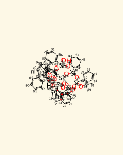 CCCC(C)(C)[Si](C)(C)O[SiH](O[Si]1(c2ccccc2)O[Si]2(c3ccccc3)O[Si](O[Si](C)(C)C)(c3ccccc3)O[Si]3(c4ccccc4)O[Si](O)(c4ccccc4)O[Si](c4ccccc4)(O1)O[Si](C)(C)C(C)(C)C(C)(CC)[Si](C)(C)O[Si](c1ccccc1)(O3)O2)c1ccccc1